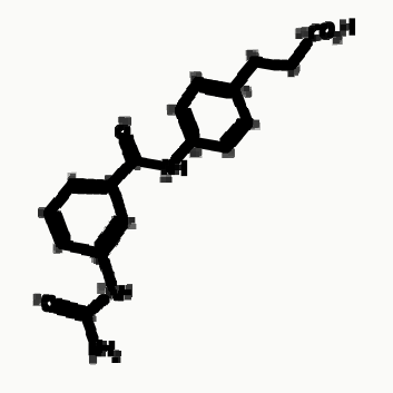 NC(=O)Nc1cccc(C(=O)Nc2ccc(CCC(=O)O)cc2)c1